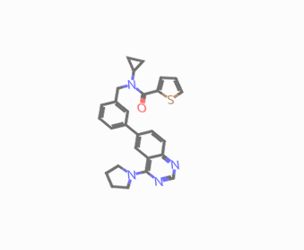 O=C(c1cccs1)N(Cc1cccc(-c2ccc3ncnc(N4CCCC4)c3c2)c1)C1CC1